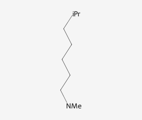 CNCCCCCC(C)C